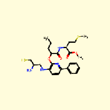 CCCC(Oc1nc(-c2ccccc2)ccc1NCC(N)CS)C(=O)N[C@@H](CCSC)C(=O)OC